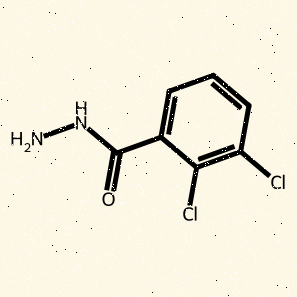 NNC(=O)c1cccc(Cl)c1Cl